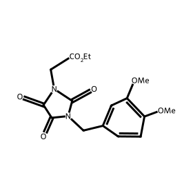 CCOC(=O)CN1C(=O)C(=O)N(Cc2ccc(OC)c(OC)c2)C1=O